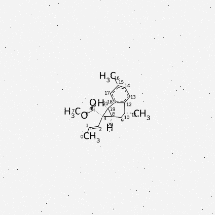 C/C=C/[C@]1(C(=O)OC)[C@@H]2C[C@@H](C)c3ccc(C)cc3[C@@H]21